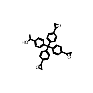 CC(O)c1ccc(C(c2ccc(C3CO3)cc2)(c2ccc(C3CO3)cc2)c2ccc(C3CO3)cc2)cc1